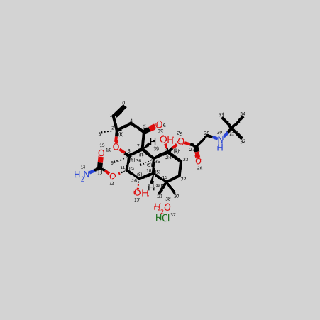 C=C[C@@]1(C)CC(=O)[C@H]2[C@](C)(O1)[C@@H](OC(N)=O)[C@@H](O)[C@H]1C(C)(C)CC[C@@](O)(OC(=O)CNC(C)(C)C)[C@@]12C.Cl.O